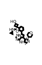 Nc1ncnn2c(-c3cccc([C@]4(C(=O)NC5CC5)C[C@@H](O)C4)c3)cc(-c3ccnn3C3CCOCC3)c12